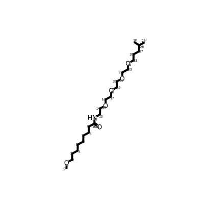 COCCCCCCCCC(=O)NCCOCCOCCOCCOCCCC(C)C